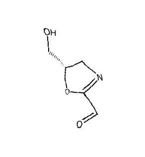 O=CC1=NC[C@@H](CO)O1